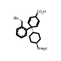 CCCCCCC[C@H]1CC[C@H](C2(c3ccccc3C[C@@H](C)CC)C=CC(C(=O)O)C=C2)CC1